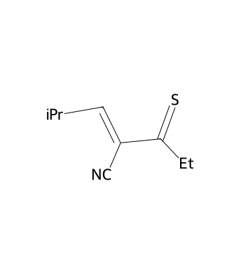 CCC(=S)/C(C#N)=C/C(C)C